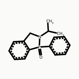 CC(C)N1Cc2ccccc2P1(=O)c1ccccc1